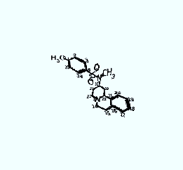 Cc1ccc(S(=O)(=O)N(C)[C@@H]2CCN3CCc4ccccc4C3C2)cc1